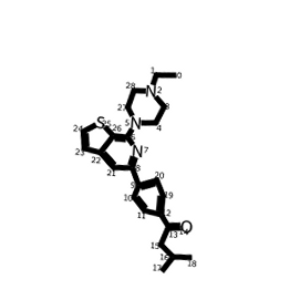 CCN1CCN(c2nc(-c3ccc(C(=O)CC(C)C)cc3)cc3ccsc23)CC1